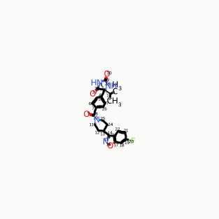 CC(C)[C@]1(c2ccc(C(=O)N3CCC(c4noc5cc(F)ccc45)CC3)cc2)NC(=O)NC1=O